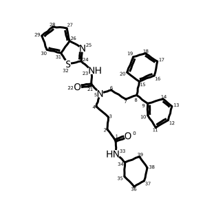 O=C(CCCN(CCC(c1ccccc1)c1ccccc1)C(=O)Nc1nc2ccccc2s1)NC1CCCCC1